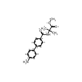 COC(=O)C(C)(C)NC(=O)c1ccc(-c2ccc(N)cc2)cc1